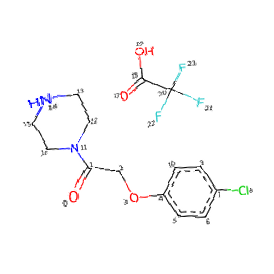 O=C(COc1ccc(Cl)cc1)N1CCNCC1.O=C(O)C(F)(F)F